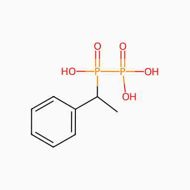 CC(c1ccccc1)P(=O)(O)P(=O)(O)O